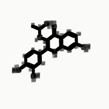 CC(O)Oc1c(-c2ccc(O)c(O)c2)oc2cc(O)ccc2c1=O